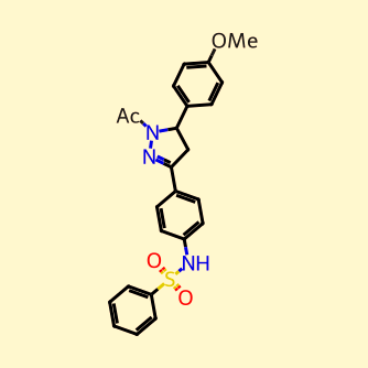 COc1ccc(C2CC(c3ccc(NS(=O)(=O)c4ccccc4)cc3)=NN2C(C)=O)cc1